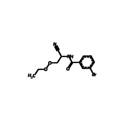 CCOOCC(C#N)NC(=O)c1cccc(Br)c1